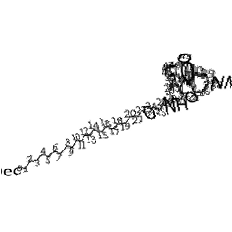 CCCCCCCCCCCCCCCCCCCCCCCCCCCCCCCCOCCCNc1ccc2c(c1)Oc1cc(NC)ccc1C21OC(=O)c2ccccc21